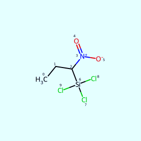 CCC([N+](=O)[O-])[Si](Cl)(Cl)Cl